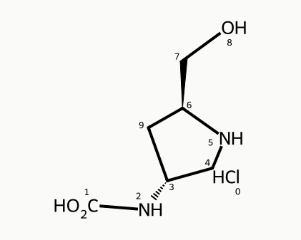 Cl.O=C(O)N[C@H]1CN[C@H](CO)C1